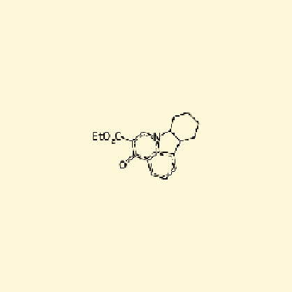 CCOC(=O)c1cn2c3c(cccc3c1=O)C1CCCCC12